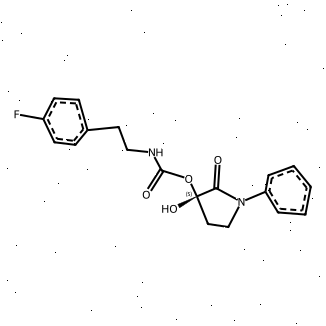 O=C(NCCc1ccc(F)cc1)O[C@@]1(O)CCN(c2ccccc2)C1=O